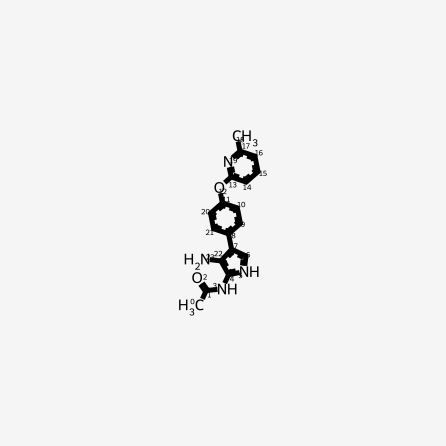 CC(=O)Nc1[nH]cc(-c2ccc(Oc3cccc(C)n3)cc2)c1N